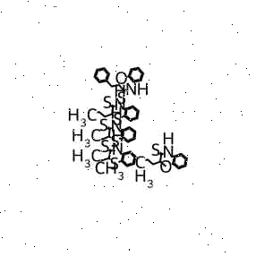 CC(C)C1Sc2ccccc2NC1=S.CCC1Sc2ccccc2NC1=S.CCCC1Oc2ccccc2NC1=S.CCCC1Sc2ccccc2NC1=S.S=C1Nc2ccccc2OC1Cc1ccccc1